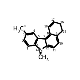 Cc1ccc2c(c1)c1c3c(ccc1n2C)CCC=C3